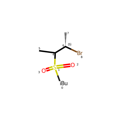 CCC(C)S(=O)(=O)C(C)[C@H](C)Br